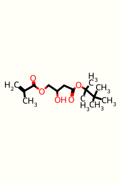 C=C(C)C(=O)OCC(O)CC(=O)OC(C)(C)C(C)(C)C